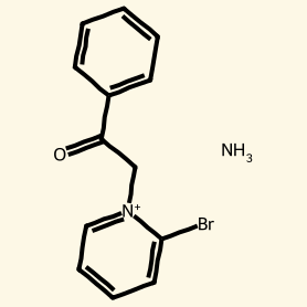 N.O=C(C[n+]1ccccc1Br)c1ccccc1